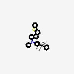 CC(C)(c1ccccc1)c1ccc(N(c2ccccc2)c2cccc3c2ccc2ccc4c5ccccc5sc4c23)cc1